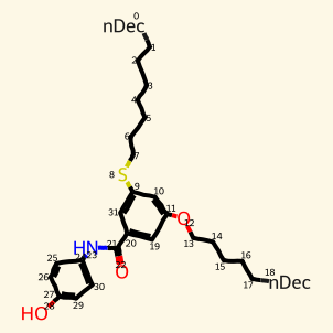 CCCCCCCCCCCCCCCCCSc1cc(OCCCCCCCCCCCCCCC)cc(C(=O)Nc2ccc(O)cc2)c1